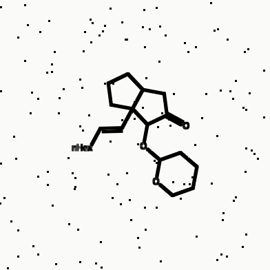 CCCCCCC=CC12CCCC1CC(=O)C2OC1CCCCO1